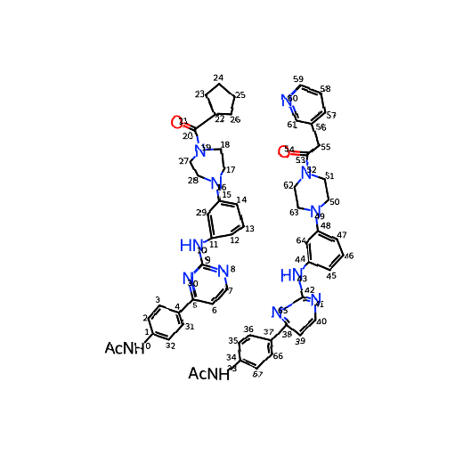 CC(=O)Nc1ccc(-c2ccnc(Nc3cccc(N4CCN(C(=O)C5CCCC5)CC4)c3)n2)cc1.CC(=O)Nc1ccc(-c2ccnc(Nc3cccc(N4CCN(C(=O)Cc5cccnc5)CC4)c3)n2)cc1